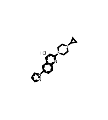 Cl.c1cnn(-c2ccc3nc(N4CCN(C5CC5)CC4)ccc3c2)c1